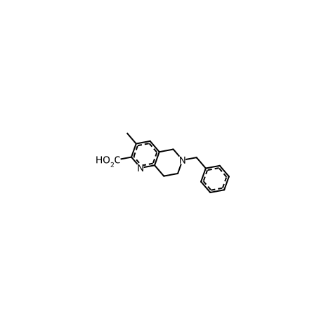 Cc1cc2c(nc1C(=O)O)CCN(Cc1ccccc1)C2